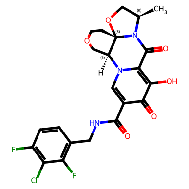 C[C@@H]1CO[C@@]23CCOC[C@@H]2n2cc(C(=O)NCc4ccc(F)c(Cl)c4F)c(=O)c(O)c2C(=O)N13